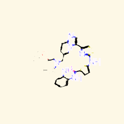 COCCN(C)Cc1ccc2ncc(-c3csc(Nc4ccc(C(=O)Nc5ccccc5N)s4)n3)n2c1